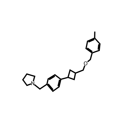 Cc1ccc(COCC2CC(c3ccc(CN4CCCC4)cc3)C2)cc1